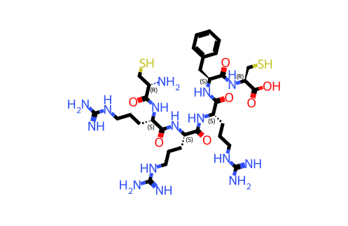 N=C(N)NCCC[C@H](NC(=O)[C@H](CCCNC(=N)N)NC(=O)[C@H](CCCNC(=N)N)NC(=O)[C@@H](N)CS)C(=O)N[C@@H](Cc1ccccc1)C(=O)N[C@@H](CS)C(=O)O